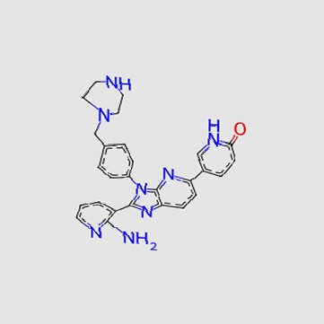 Nc1ncccc1-c1nc2ccc(-c3ccc(=O)[nH]c3)nc2n1-c1ccc(CN2CCNCC2)cc1